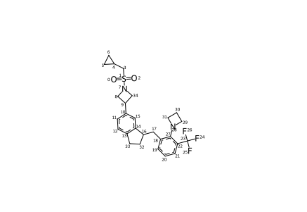 O=S(=O)(CC1CC1)N1CC(c2ccc3c(c2)C(Cc2cccc(C(F)(F)F)c2N2CCC2)CC3)C1